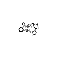 Nc1ccccc1C(=O)NCC1CNC(C(=O)N2CCSC2)C1